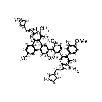 COc1ccc(-c2c(-c3ccc(C#N)c(-c4cc(-c5c(-c6ccc(C#N)cc6)nc(NCC6CNC6)n(C)c5=O)ccc4OC)c3)nc(NCC3CCNC3)n(C)c2=O)cc1F